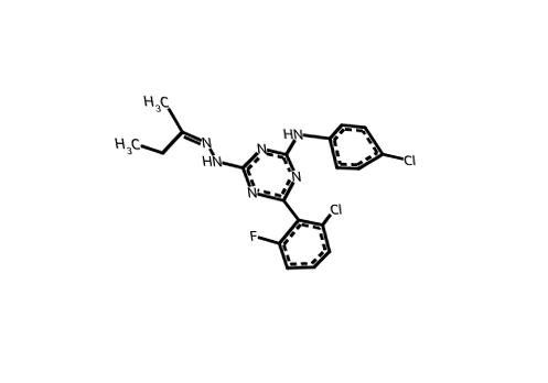 CCC(C)=NNc1nc(Nc2ccc(Cl)cc2)nc(-c2c(F)cccc2Cl)n1